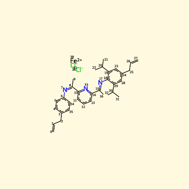 C=CCc1ccc(N=C(C)c2cccc(C(C)=Nc3c(C(C)C)cc(CC=C)cc3C(C)C)n2)cc1.[Cl-].[Cl-].[Fe+2]